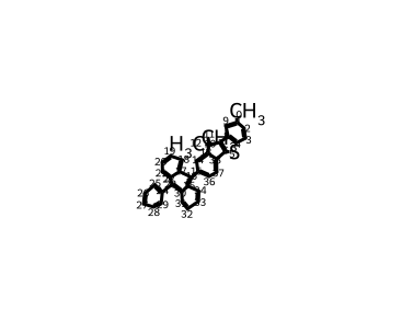 Cc1ccc2sc3c(c2c1)C(C)(C)c1cc(-c2c4ccccc4c(-c4ccccc4)c4ccccc24)ccc1-3